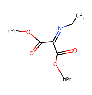 CCCOC(=O)C(=NCC(F)(F)F)C(=O)OCCC